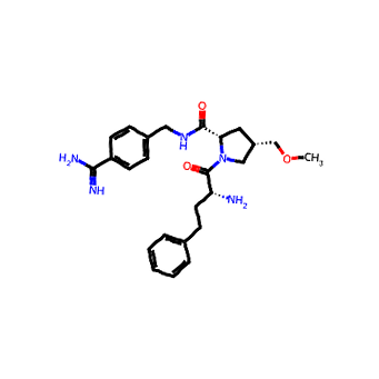 COC[C@H]1C[C@@H](C(=O)NCc2ccc(C(=N)N)cc2)N(C(=O)[C@H](N)CCc2ccccc2)C1